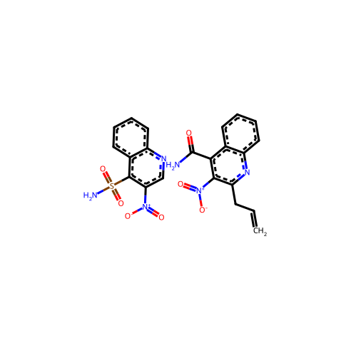 C=CCc1nc2ccccc2c(C(N)=O)c1[N+](=O)[O-].NS(=O)(=O)c1c([N+](=O)[O-])cnc2ccccc12